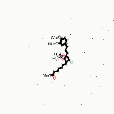 COC(=O)CCCCCC=C1C(=O)C(CCCc2ccc(OC)c(OC)c2)(O[Si](C)(C)C)C=C1Cl